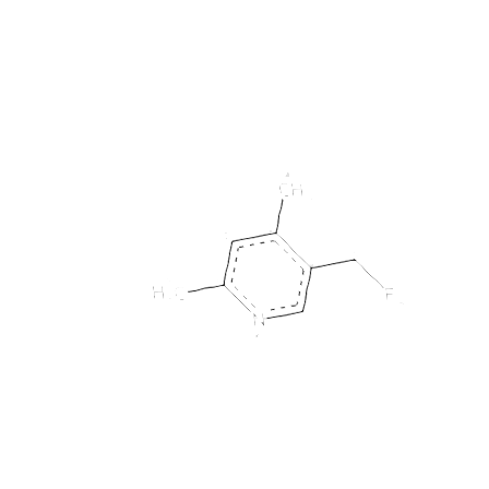 Cc1cc(C)c(CF)cn1